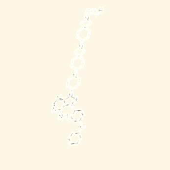 Nc1ncnc2c1c(-c1ccc(Oc3ccccc3)cc1)nn2C1CCN(C2CCC3(CC2)CN(C2CCC4(CC2)CN(C(=O)O)C4)C3)CC1